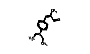 CCN(CC)c1ccc(C=C(C)C=O)cc1